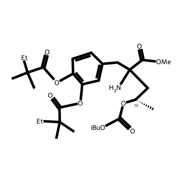 CCC(C)(C)C(=O)Oc1ccc(CC(N)(C[C@H](C)OC(=O)OCC(C)C)C(=O)OC)cc1OC(=O)C(C)(C)CC